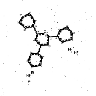 F.F.F.[B].[F-].c1ccc(-c2cc(-c3ccccc3)[o+]c(-c3ccccc3)c2)cc1